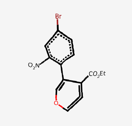 CCOC(=O)C1=C=COC=C1c1ccc(Br)cc1[N+](=O)[O-]